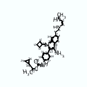 CN/C=C\NCCc1ccc2c(N)c(-c3ccc(NC(=O)OC(C)C4CC4)cc3)n(C3CCC3)c2c1